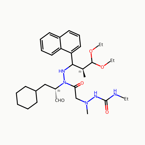 CCNC(=O)NN(C)CC(=O)N(NC(c1cccc2ccccc12)[C@H](C)C(OCC)OCC)[C@H](C=O)CC1CCCCC1